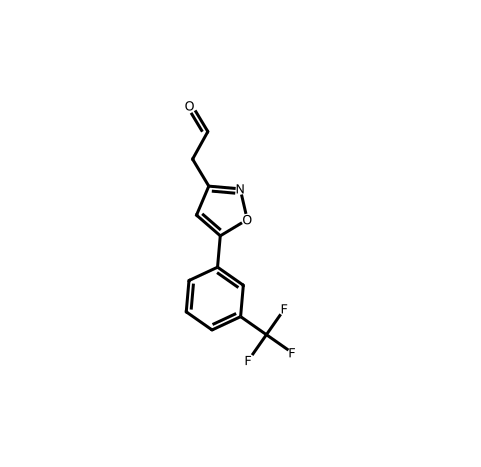 O=CCc1cc(-c2cccc(C(F)(F)F)c2)on1